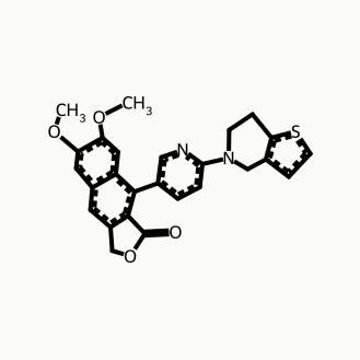 COc1cc2cc3c(c(-c4ccc(N5CCc6sccc6C5)nc4)c2cc1OC)C(=O)OC3